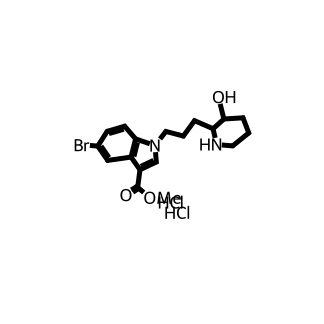 COC(=O)c1cn(CCCC2NCCCC2O)c2ccc(Br)cc12.Cl.Cl